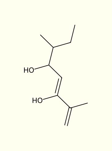 C=C(C)C(O)=CC(O)C(C)CC